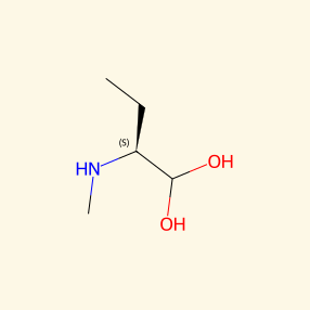 CC[C@H](NC)C(O)O